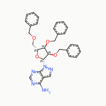 Nc1ncnc2c1cnn2[C@@H]1O[C@H](COCc2ccccc2)[C@@H](OCc2ccccc2)[C@H]1OCc1ccccc1